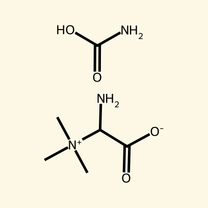 C[N+](C)(C)C(N)C(=O)[O-].NC(=O)O